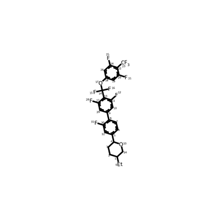 CCC1CCC(c2ccc(-c3cc(F)c(C(F)(F)Oc4cc(F)c(C(F)(F)F)c(F)c4)c(F)c3)c(F)c2)OC1